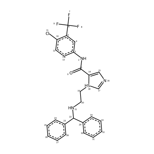 O=C(Nc1cc(C(F)(F)F)c(Cl)cn1)C1=CN=C[SH]1CCNC(c1ccccc1)c1ccccc1